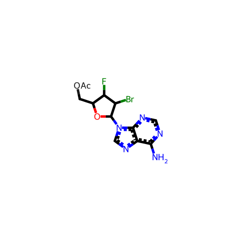 CC(=O)OCC1OC(n2cnc3c(N)ncnc32)C(Br)C1F